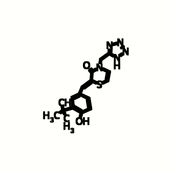 CC(C)(C)c1cc(C=C2SC=CN(Cc3nnn[nH]3)C2=O)ccc1O